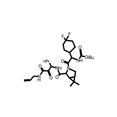 C=CCNC(=O)C(=O)C(CCC)NC(=O)C1C2C(CN1C(=O)C(NC(=O)OCC(C)C)C1CCC(F)(F)CC1)C2(C)C